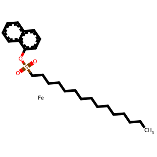 CCCCCCCCCCCCCCCS(=O)(=O)Oc1cccc2ccccc12.[Fe]